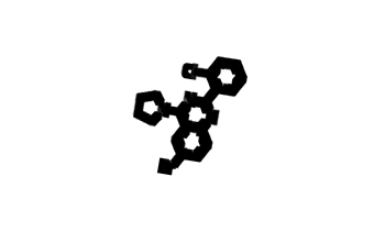 Clc1ccccc1-c1nc(N2CCCC2)c2cc(Br)ccc2n1